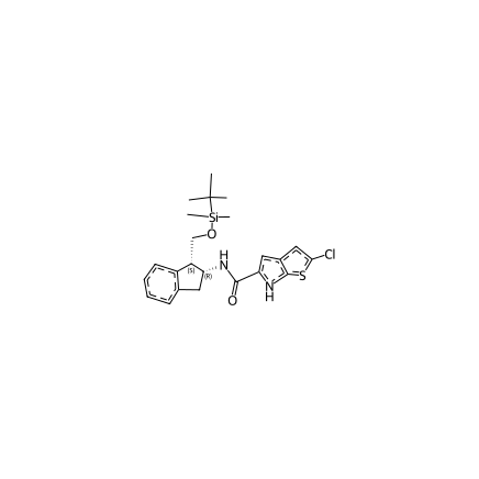 CC(C)(C)[Si](C)(C)OC[C@H]1c2ccccc2C[C@H]1NC(=O)c1cc2cc(Cl)sc2[nH]1